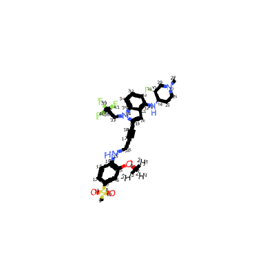 [2H]C([2H])([2H])Oc1cc(S(C)(=O)=O)ccc1NCC#Cc1cc2c(N[C@H]3CCN(C)C[C@H]3F)cccc2n1CC(F)(F)F